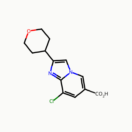 O=C(O)c1cc(Cl)c2nc(C3CCOCC3)cn2c1